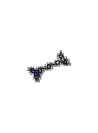 Cc1ccc(C(c2ccc(C=Cc3ccc(C=Cc4ccc(N(c5ccc(C)cc5)c5ccc(C)cc5C)cc4)cc3)cc2)c2ccc(C)cc2C)cc1